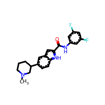 CN1CCCC(c2ccc3[nH]c(C(=O)Nc4cc(F)cc(F)c4)cc3c2)C1